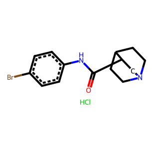 Cl.O=C(Nc1ccc(Br)cc1)C1CN2CCC1CC2